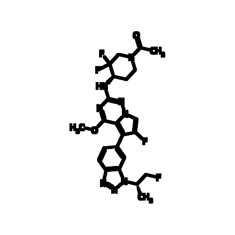 COc1nc(N[C@@H]2CCN(C(C)=O)CC2(F)F)nn2cc(F)c(-c3ccc4nnn([C@@H](C)CF)c4c3)c12